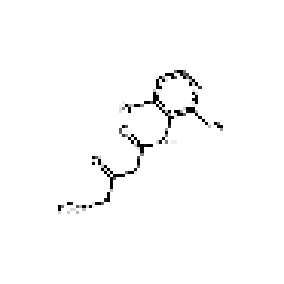 CCCCCCCCCCCC(=O)CC(=O)Nc1c(C(C)C)cccc1C(C)C